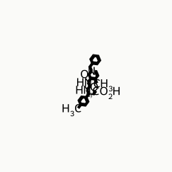 Cc1ccc([C@H](CC(=O)O)NC(=O)Nc2c(C)ccn(Cc3ccccc3)c2=O)cc1